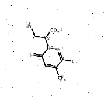 CC(C)C[C@@H](C(=O)O)n1nc(Cl)c(C(F)(F)F)cc1=O